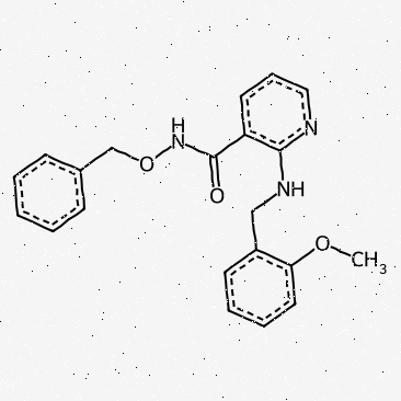 COc1ccccc1CNc1ncccc1C(=O)NOCc1ccccc1